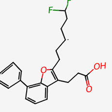 O=C(O)CCc1c(CC[CH]CCC(F)F)oc2c(-c3ccccc3)cccc12